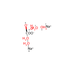 O.O.O.O.O.O=C([O-])[O-].[Na+].[Na+]